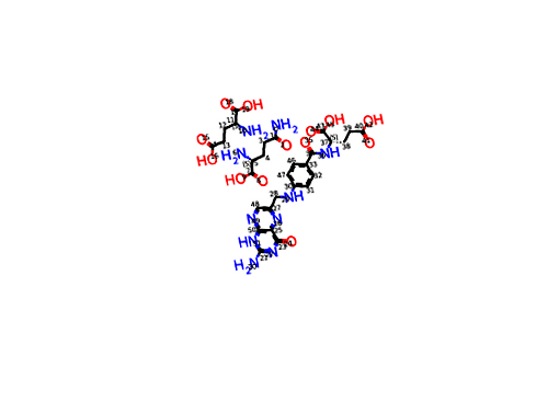 NC(=O)CC[C@H](N)C(=O)O.N[C@@H](CCC(=O)O)C(=O)O.Nc1nc(=O)c2nc(CNc3ccc(C(=O)N[C@@H](CCC(=O)O)C(=O)O)cc3)cnc2[nH]1